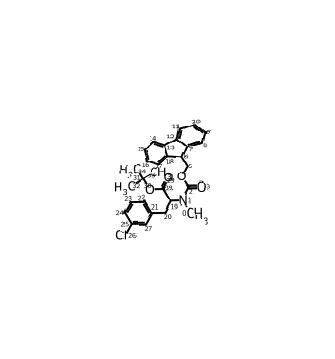 CN(C(=O)OCC1c2ccccc2-c2ccccc21)C(Cc1cccc(Cl)c1)C(=O)OC(C)(C)C